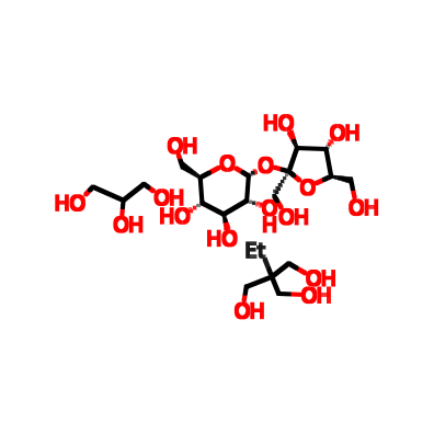 CCC(CO)(CO)CO.OCC(O)CO.OC[C@H]1O[C@@](CO)(O[C@H]2O[C@H](CO)[C@@H](O)[C@H](O)[C@H]2O)[C@@H](O)[C@@H]1O